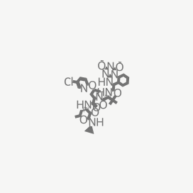 CCC[C@@H](NC(=O)C1CC(Oc2ccc(Cl)cn2)CN1C(=O)[C@H](NC(=O)C(Nc1nc(OC)nc(OC)n1)C1CCCCC1)C(C)(C)C)C(=O)C(=O)NC1CC1